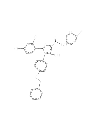 Cc1c(C(=O)Nc2ccc(F)nc2)nc(-c2ccc(Cl)cc2Cl)n1-c1ccc(OCc2ccccc2)cc1